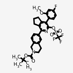 COc1cc(F)ccc1-c1c(OS(=O)(=O)C(F)(F)F)nc(-c2ccc3c(c2)CCN(C(=O)OC(C)(C)C)C3)c2c1CCC2